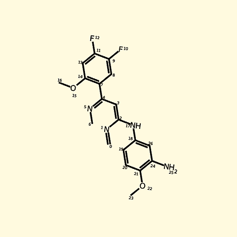 C=N/C(=C\C(=N/C)c1cc(F)c(F)cc1OC)Nc1ccc(OC)c(N)c1